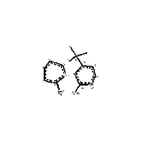 Brc1ccccn1.CC(C)(C)c1ccnc(Br)c1